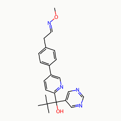 CON=CCc1ccc(-c2ccc(C(O)(c3cncnc3)C(C)(C)C)nc2)cc1